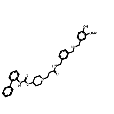 COc1cc(CNCc2cccc(CNC(=O)CCN3CCC(OC(=O)Nc4ccccc4-c4ccccc4)CC3)c2)ccc1O